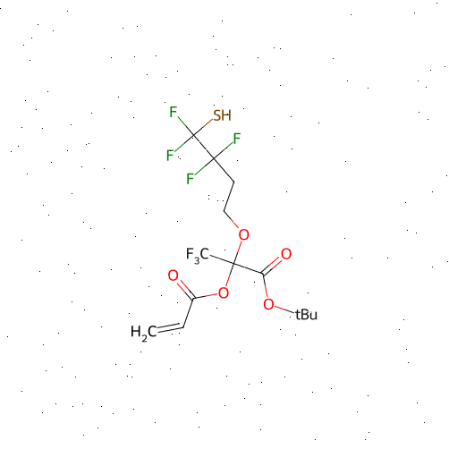 C=CC(=O)OC(OCCC(F)(F)C(F)(F)S)(C(=O)OC(C)(C)C)C(F)(F)F